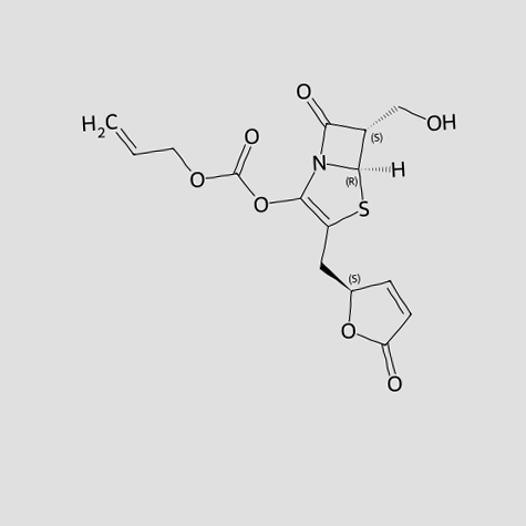 C=CCOC(=O)OC1=C(C[C@H]2C=CC(=O)O2)S[C@@H]2[C@@H](CO)C(=O)N12